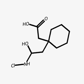 O=C(O)CC1(CC(O)NCl)CCCCC1